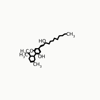 CCCCCCCCCC(O)/C=C/c1cc(O)c2c(c1)OC(C)(C)C1CC=C(C)CC21